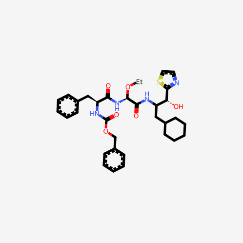 CCO[C@H](NC(=O)[C@H](Cc1ccccc1)NC(=O)OCc1ccccc1)C(=O)NC(CC1CCCCC1)[C@@H](O)c1nccs1